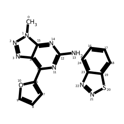 Cn1nnc2c(-c3ccco3)nc(N)nc21.c1ccc2snnc2c1